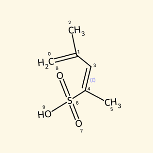 C=C(C)/C=C(/C)S(=O)(=O)O